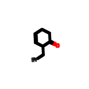 CC(C)CC1C=CCCC1=O